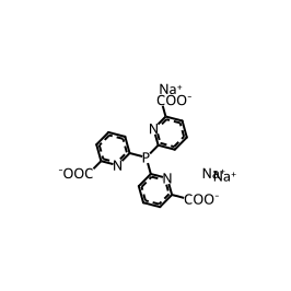 O=C([O-])c1cccc(P(c2cccc(C(=O)[O-])n2)c2cccc(C(=O)[O-])n2)n1.[Na+].[Na+].[Na+]